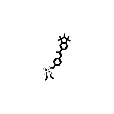 CCOP(=O)(OCC)OCc1ccc(/C=C(\C)c2ccc3c(c2)C(C)(C)C(C)C3(C)C)cc1